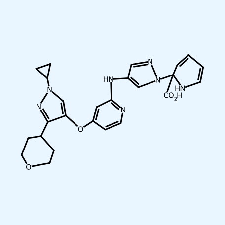 O=C(O)C1(n2cc(Nc3cc(Oc4cn(C5CC5)nc4C4CCOCC4)ccn3)cn2)C=CC=CN1